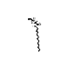 C=CC(=O)NC(C)(C)C(=O)NCCCCCCCCCCCC